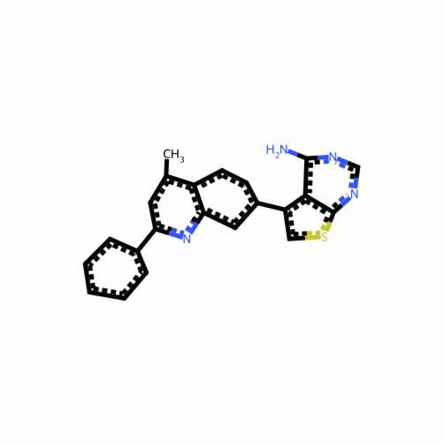 Cc1cc(-c2ccccc2)nc2cc(-c3csc4ncnc(N)c34)ccc12